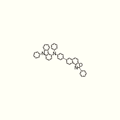 c1ccc(-c2nc3c(ccc4cc(-c5ccc(N(c6ccccc6)c6cccc7c6c6ccccc6n7-c6ccccc6)cc5)ccc43)o2)cc1